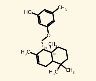 CC1=CCC2C(C)(C)CCC[C@]2(C)[C@H]1COc1cc(C)cc(O)c1